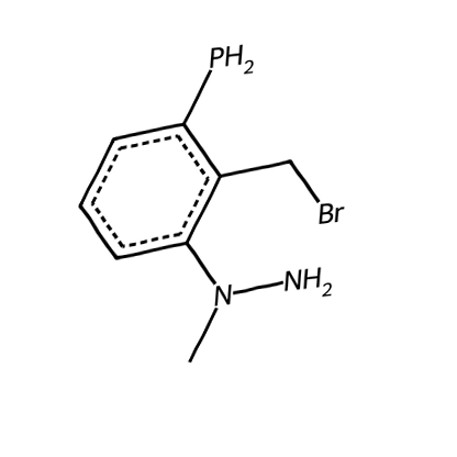 CN(N)c1cccc(P)c1CBr